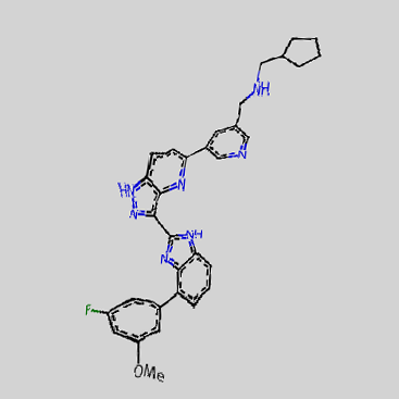 COc1cc(F)cc(-c2cccc3[nH]c(-c4n[nH]c5ccc(-c6cncc(CNCC7CCCC7)c6)nc45)nc23)c1